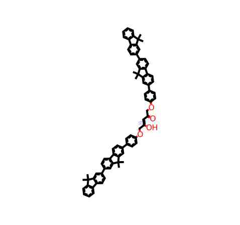 CC1(C)c2ccccc2-c2ccc(-c3ccc4c(c3)C(C)(C)c3cc(-c5ccc(OCC(=O)/C=C(\O)COc6ccc(-c7ccc8c(c7)C(C)(C)c7cc(-c9ccc%10c(c9)C(C)(C)c9ccccc9-%10)ccc7-8)cc6)cc5)ccc3-4)cc21